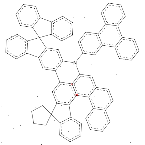 c1ccc2c(c1)-c1ccc(-c3cc4c(cc3N(c3ccc5c(ccc6ccccc65)c3)c3ccc5c6ccccc6c6ccccc6c5c3)C3(c5ccccc5-c5ccccc53)c3ccccc3-4)cc1C21CCCC1